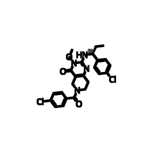 CC[C@H](Nc1nc2c(c(=O)n1OC)CN(C(=O)c1ccc(Cl)cc1)CC2)c1ccc(Cl)cc1